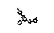 Cc1cccc(-c2ccn(-c3cc(N4CCOCC4)n4nc(-c5cc[n+]([O-])cc5)cc4n3)n2)c1